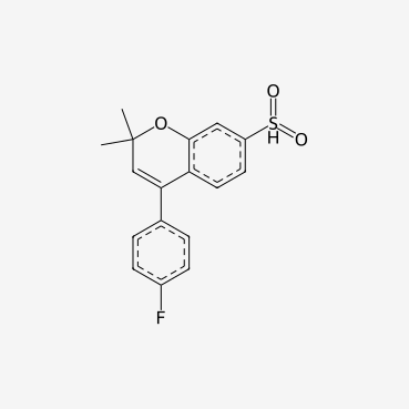 CC1(C)C=C(c2ccc(F)cc2)c2ccc([SH](=O)=O)cc2O1